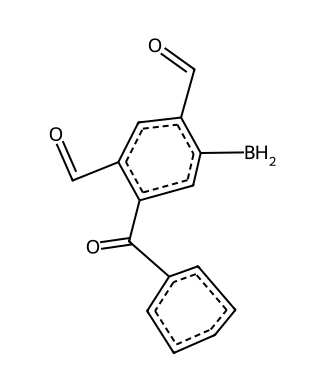 Bc1cc(C(=O)c2ccccc2)c(C=O)cc1C=O